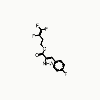 CC(=O)N/C(=C\c1ccc(F)cc1)C(=O)OCCC(F)=C(F)F